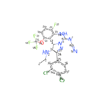 CCNC1CN(/C(=N\C#N)Nc2cc(OC(F)(F)F)ccc2F)N=C1c1ccc(Cl)c(Cl)c1